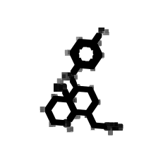 COCC1CC[C@H](Nc2ccc(F)cc2)C2(O)CCCOC12